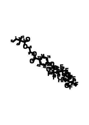 CCC(C)(C)C(=O)OCCOC(=O)c1ccc(OS(=O)(=O)C(F)(F)C(F)(F)C(F)(F)S(=O)(=O)NS(=O)(=O)C(F)(F)F)cc1